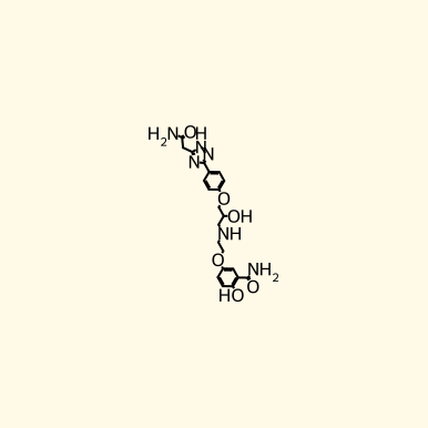 NC(=O)Cc1nc(-c2ccc(OCC(O)CNCCOc3ccc(O)c(C(N)=O)c3)cc2)n[nH]1